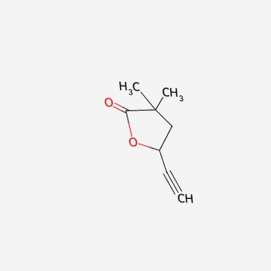 C#CC1CC(C)(C)C(=O)O1